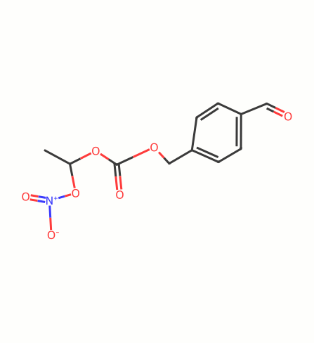 CC(OC(=O)OCc1ccc(C=O)cc1)O[N+](=O)[O-]